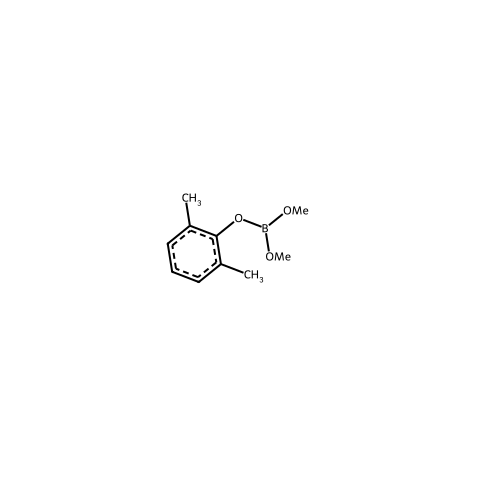 COB(OC)Oc1c(C)cccc1C